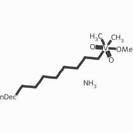 CCCCCCCCCCCCCCCCC[CH2][V]([CH3])([CH3])(=[O])(=[O])[O]C.N